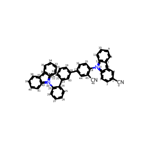 N#Cc1ccc2c(c1)c1ccccc1n2-c1ccc(-c2ccc(C#N)c(-c3ccccc3-n3c4ccccc4c4ccccc43)c2)cc1C#N